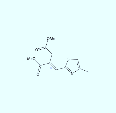 COC(=O)C/C(=C\c1nc(C)cs1)C(=O)OC